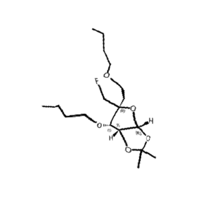 CCCCOC[C@@]1(CF)O[C@@H]2OC(C)(C)O[C@@H]2[C@@H]1OCCCC